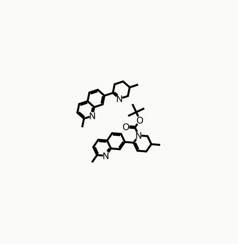 Cc1ccc2ccc(C3=CCC(C)CN3C(=O)OC(C)(C)C)cc2n1.Cc1ccc2ccc(C3=NCC(C)CC3)cc2n1